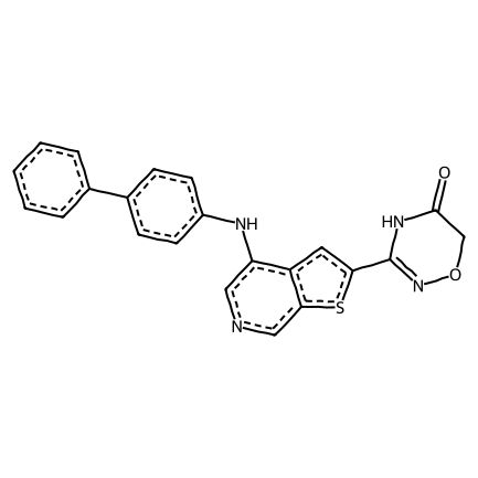 O=C1CON=C(c2cc3c(Nc4ccc(-c5ccccc5)cc4)cncc3s2)N1